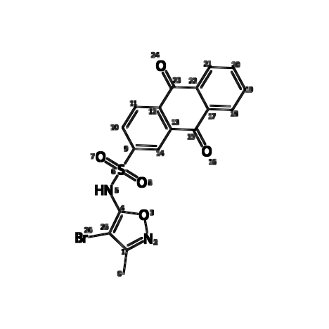 Cc1noc(NS(=O)(=O)c2ccc3c(c2)C(=O)c2ccccc2C3=O)c1Br